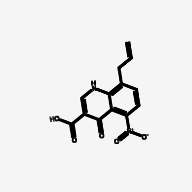 C=CCc1ccc([N+](=O)[O-])c2c(=O)c(C(=O)O)c[nH]c12